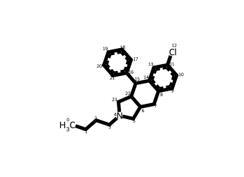 CCCCN1CC2Cc3ccc(Cl)cc3C(c3ccccc3)C2C1